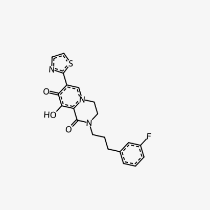 O=C1c2c(O)c(=O)c(-c3nccs3)cn2CCN1CCCc1cccc(F)c1